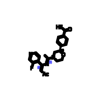 CC(=O)/C=C(\N=C(/C)N1CCO[C@@H](c2ccc(C(=O)S)cc2)C1)c1ccncc1F